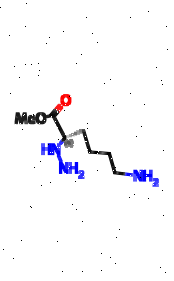 COC(=O)[C@H](CCCCN)NN